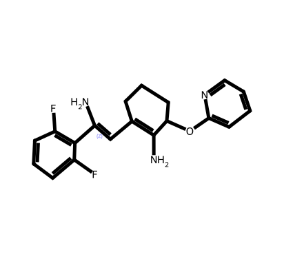 NC1=C(/C=C(\N)c2c(F)cccc2F)CCCC1Oc1ccccn1